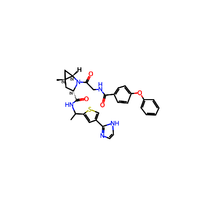 CC(NC(=O)[C@@H]1C[C@]2(C)C[C@@H]2N1C(=O)CNC(=O)c1ccc(Oc2ccccc2)cc1)c1cc(-c2ncc[nH]2)cs1